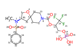 CN([C@H]1COC2(CCN(C(=O)OC(COP(=O)(O)O)C(F)(F)F)CC2)C1)S(=O)(=O)c1ccccc1